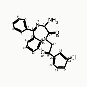 NC1N=C(c2ccccc2)c2ccccc2N(CC(=O)c2cccc(Cl)c2)C1=O